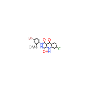 COc1cc(Br)ccc1-n1nc(O)c2[nH]c3cc(Cl)ccc3c(=O)c2c1=O